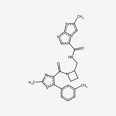 Cc1cccc(-c2sc(C)nc2C(=O)N2CCC2CNC(=O)c2cnc3sc(C)cn23)c1